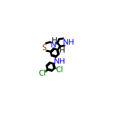 Clc1ccc(Nc2cc3c4c(c2)[C@H]2CNCC[C@H]2N4CCSC3)c(Cl)c1